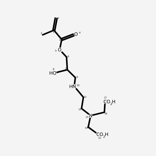 C=C(C)C(=O)OCC(O)CNCCN(CC(=O)O)CC(=O)O